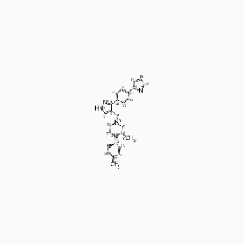 CC1CN(Cc2c[nH]nc2-c2ccc(-n3cccn3)cc2)CCN1c1ccc(C(F)(F)F)cn1